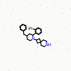 CC(C)c1ccccc1C1CC(Cc2ccccc2)CCN1C1CC2(CCNCC2)C1